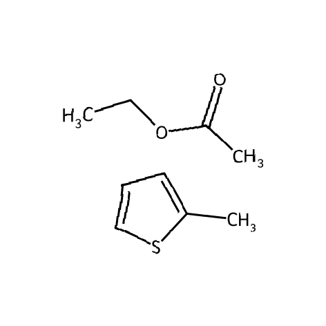 CCOC(C)=O.Cc1cccs1